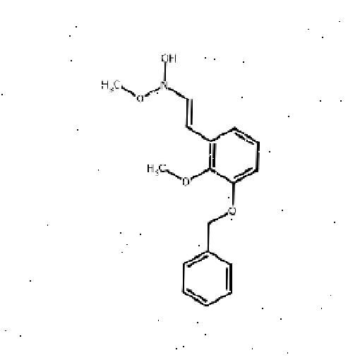 COc1c(/C=C/N(O)OC)cccc1OCc1ccccc1